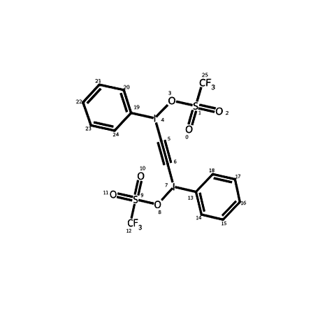 O=S(=O)(OI(C#CI(OS(=O)(=O)C(F)(F)F)c1ccccc1)c1ccccc1)C(F)(F)F